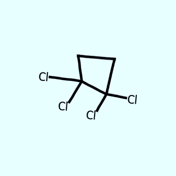 ClC1(Cl)CCC1(Cl)Cl